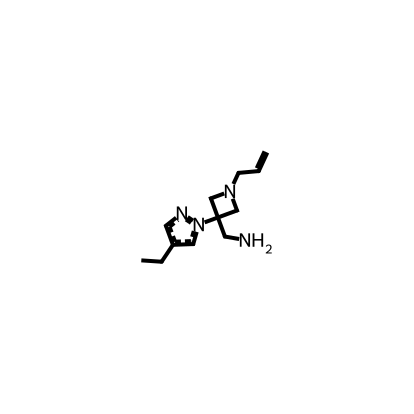 C=CCN1CC(CN)(n2cc(CC)cn2)C1